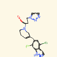 O=C(CCn1ccnn1)N1CCC=C(c2cc(Cl)c3cn[nH]c3c2F)C1